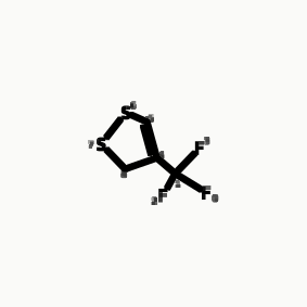 FC(F)(F)C1=[C]SSC1